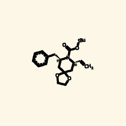 C=C[C@@H]1CC2(C[C@H](Cc3ccccc3)N1C(=O)OC(C)(C)C)OCCO2